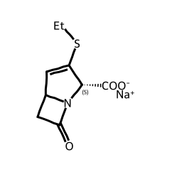 CCSC1=CC2CC(=O)N2[C@H]1C(=O)[O-].[Na+]